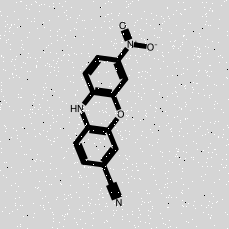 N#Cc1ccc2c(c1)Oc1cc([N+](=O)[O-])ccc1N2